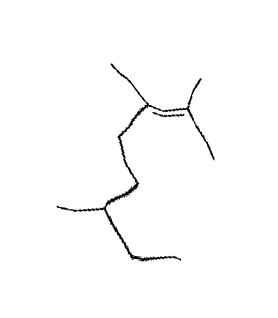 CCC(C)CCC(C)=C(C)C